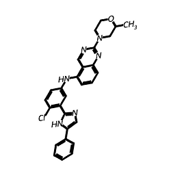 CC1CN(c2ncc3c(Nc4ccc(Cl)c(-c5ncc(-c6ccccc6)[nH]5)c4)cccc3n2)CCO1